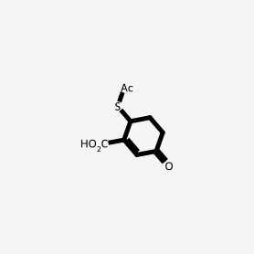 CC(=O)SC1CCC(=O)C=C1C(=O)O